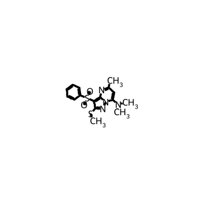 CSc1nn2c(N(C)C)cc(C)nc2c1S(=O)(=O)c1ccccc1